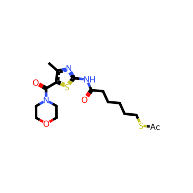 CC(=O)SCCCCCC(=O)Nc1nc(C)c(C(=O)N2CCOCC2)s1